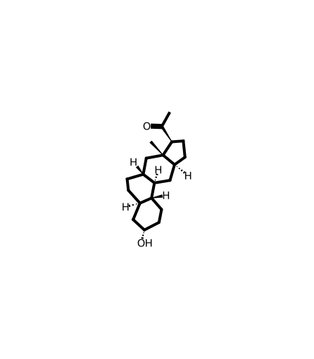 CC(=O)[C@H]1CC[C@H]2C[C@@H]3[C@H](CC[C@@H]4C[C@@H](O)CC[C@H]43)C[C@@]21C